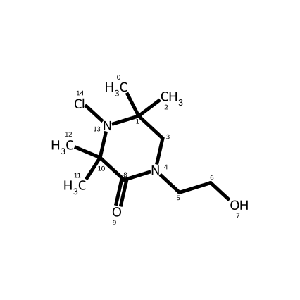 CC1(C)CN(CCO)C(=O)C(C)(C)N1Cl